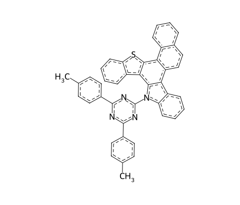 Cc1ccc(-c2nc(-c3ccc(C)cc3)nc(-n3c4ccccc4c4c5ccc6ccccc6c5c5sc6ccccc6c5c43)n2)cc1